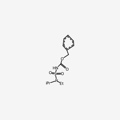 CCN(C(C)C)S(=O)(=O)NC(=O)OCc1ccccc1